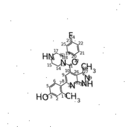 Cc1cc(O)ccc1-c1cc(C(=O)N2CCNC[C@@H]2c2cccc(F)c2)c2c(C)n[nH]c2n1